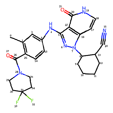 Cc1cc(Nc2nn(C3CCCCC3C#N)c3cc[nH]c(=O)c23)ccc1C(=O)N1CCC(F)(F)CC1